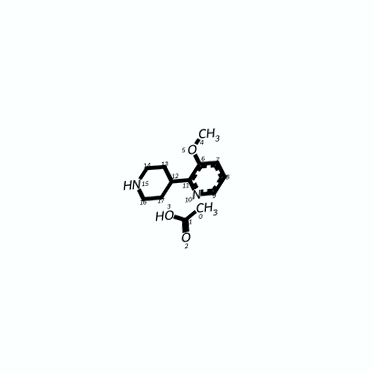 CC(=O)O.COc1cccnc1C1CCNCC1